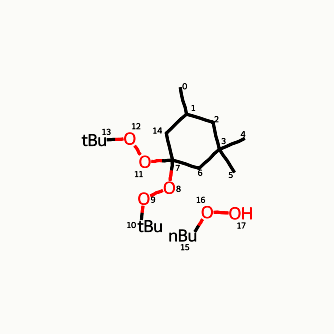 CC1CC(C)(C)CC(OOC(C)(C)C)(OOC(C)(C)C)C1.CCCCOO